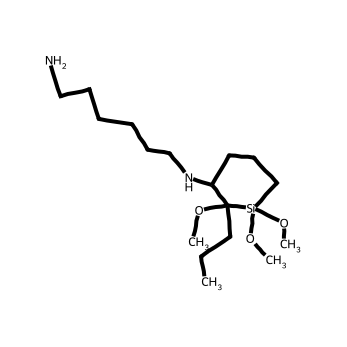 CCCC1(OC)C(NCCCCCCN)CCC[Si]1(OC)OC